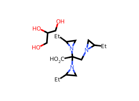 CCC1CN1CC(C(=O)O)(N1CC1CC)N1CC1CC.OCC(O)CO